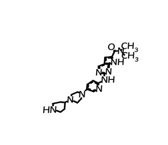 CN(C)C(=O)c1cc2cnc(Nc3ccc(N4CCN(C5CCNCC5)CC4)cn3)nc2[nH]1